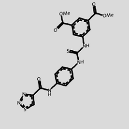 COC(=O)c1cc(NC(=S)Nc2ccc(NC(=O)c3csnn3)cc2)cc(C(=O)OC)c1